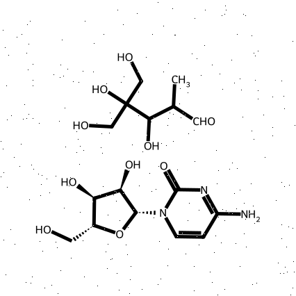 CC(C=O)C(O)C(O)(CO)CO.Nc1ccn([C@@H]2O[C@H](CO)[C@@H](O)[C@H]2O)c(=O)n1